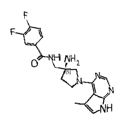 Cc1c[nH]c2ncnc(N3CC[C@](N)(CNC(=O)c4ccc(F)c(F)c4)C3)c12